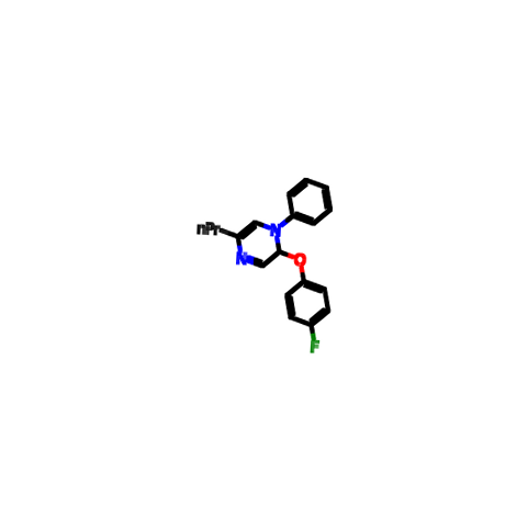 CCCC1=CN(c2ccccc2)C(Oc2ccc(F)cc2)C=N1